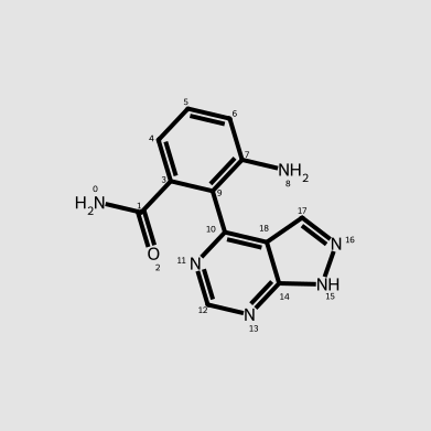 NC(=O)c1cccc(N)c1-c1ncnc2[nH]ncc12